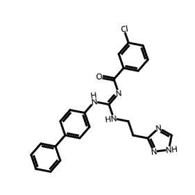 O=C(/N=C(/NCCc1nc[nH]n1)Nc1ccc(-c2ccccc2)cc1)c1cccc(Cl)c1